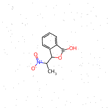 CC(C1OB(O)c2ccccc21)[N+](=O)[O-]